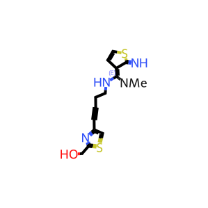 CN/C(NCCC#Cc1csc(CO)n1)=C1/C=CSC1=N